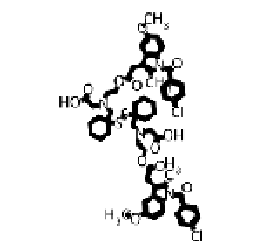 COc1ccc2c(c1)c(CC(=O)OCCN(CC(=O)O)CC1(SSC3(CN(CCOC(=O)Cc4c(C)n(C(=O)c5ccc(Cl)cc5)c5ccc(OC)cc45)CC(=O)O)CCCCC3)CCCCC1)c(C)n2C(=O)c1ccc(Cl)cc1